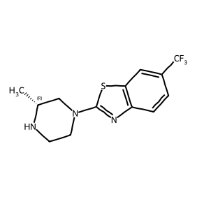 C[C@@H]1CN(c2nc3ccc(C(F)(F)F)cc3s2)CCN1